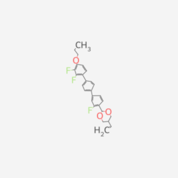 C=CC1COC(c2ccc(-c3ccc(-c4ccc(OCCC)c(F)c4F)cc3)cc2F)OC1